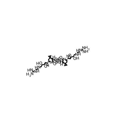 N=C(N)NCCNCC(O)c1cc([C@@H]2CC3(CC3)[C@@H]3CN2C(=O)N3OS(=O)(=O)ON2C(=O)N3C[C@H]2C2(CC2)C[C@H]3c2cc(C(O)CNCCNC(=N)N)on2)no1